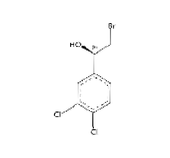 O[C@@H](CBr)c1ccc(Cl)c(Cl)c1